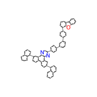 c1cc(-c2ccc(-c3cnc4c5cc(-c6cccc7ccccc67)ccc5c5ccc(-c6cccc7ccccc67)cc5c4n3)cc2)cc(-c2ccc(-c3cccc4c3oc3ccccc34)cc2)c1